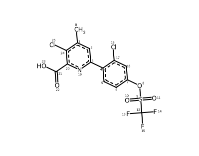 Cc1cc(-c2ccc(OS(=O)(=O)C(F)(F)F)cc2Cl)nc(C(=O)O)c1Cl